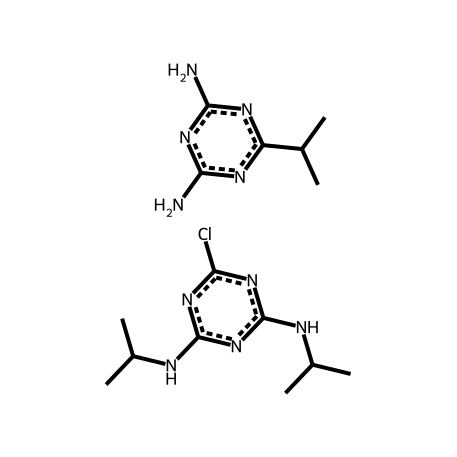 CC(C)Nc1nc(Cl)nc(NC(C)C)n1.CC(C)c1nc(N)nc(N)n1